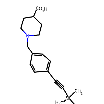 C[Si](C)(C)C#Cc1ccc(CN2CCC(C(=O)O)CC2)cc1